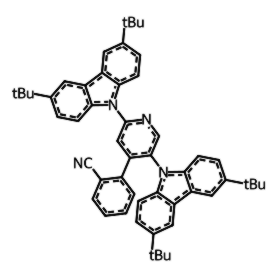 CC(C)(C)c1ccc2c(c1)c1cc(C(C)(C)C)ccc1n2-c1cc(-c2ccccc2C#N)c(-n2c3ccc(C(C)(C)C)cc3c3cc(C(C)(C)C)ccc32)cn1